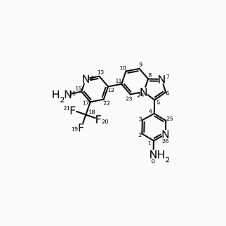 Nc1ccc(-c2cnc3ccc(-c4cnc(N)c(C(F)(F)F)c4)cn23)cn1